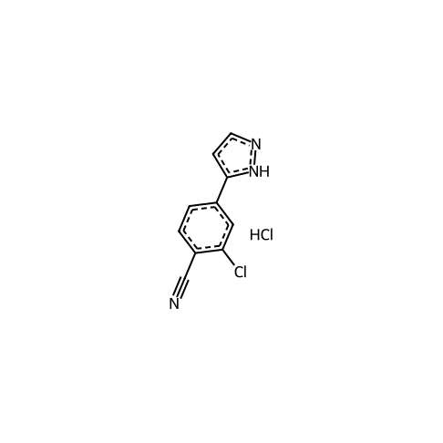 Cl.N#Cc1ccc(-c2ccn[nH]2)cc1Cl